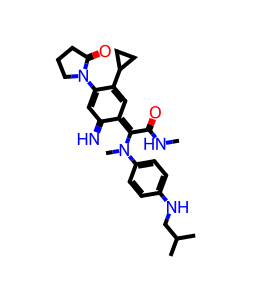 CNC(=O)/C(=C1\C=C(C2CC2)C(N2CCCC2=O)=CC1=N)N(C)c1ccc(NCC(C)C)cc1